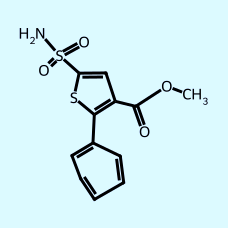 COC(=O)c1cc(S(N)(=O)=O)sc1-c1ccccc1